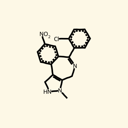 CN1NCC2=C1CN=C(c1ccccc1Cl)c1cc([N+](=O)[O-])ccc12